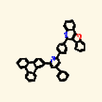 c1ccc(-c2cc(-c3ccc(-c4nc5ccccc5c5oc6ccccc6c45)cc3)nc(-c3ccc4c5ccccc5c5ccccc5c4c3)c2)cc1